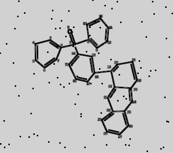 O=P(c1ccccc1)(c1ccccc1)c1cccc(-c2cccc3cc4ccccc4cc23)c1